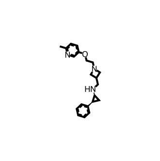 Cc1ccc(OCCN2CC(CN[C@@H]3C[C@H]3c3ccccc3)C2)cn1